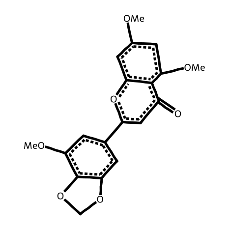 COc1cc(OC)c2c(=O)cc(-c3cc(OC)c4c(c3)OCO4)oc2c1